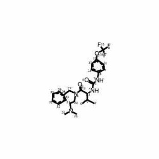 CC(C)[C@H](NC(=O)Nc1ccc(OC(F)(F)F)cc1)C(=O)N(CCN(C)C)Cc1ccccc1